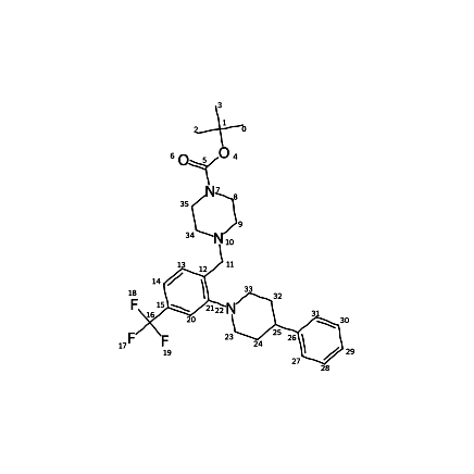 CC(C)(C)OC(=O)N1CCN(Cc2ccc(C(F)(F)F)cc2N2CCC(c3ccccc3)CC2)CC1